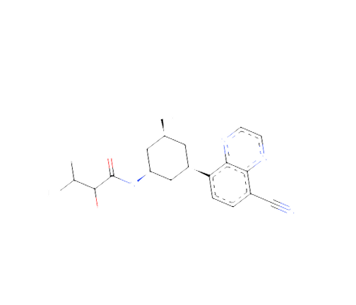 CC(C)C(O)C(=O)N[C@H]1C[C@@H](C)C[C@@H](c2ccc(C#N)c3nccnc23)C1